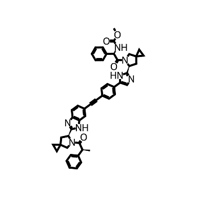 COC(=O)N[C@@H](C(=O)N1CC2(CC2)C[C@H]1c1ncc(-c2ccc(C#Cc3ccc4nc([C@@H]5CC6(CC6)CN5C(=O)[C@@H](C)c5ccccc5)[nH]c4c3)cc2)[nH]1)c1ccccc1